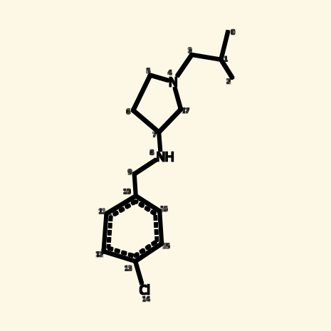 CC(C)CN1CCC(NCc2ccc(Cl)cc2)C1